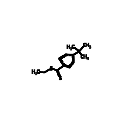 CCSC(=S)c1ccc(C(C)(C)C)cc1